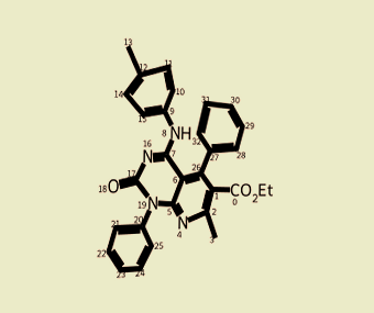 CCOC(=O)c1c(C)nc2c(c(Nc3ccc(C)cc3)nc(=O)n2-c2ccccc2)c1-c1ccccc1